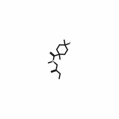 C=C(CC)CN(C)C(=C)C1(C)CCC(C)(F)CC1